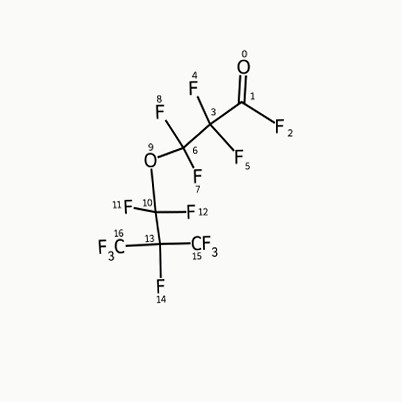 O=C(F)C(F)(F)C(F)(F)OC(F)(F)C(F)(C(F)(F)F)C(F)(F)F